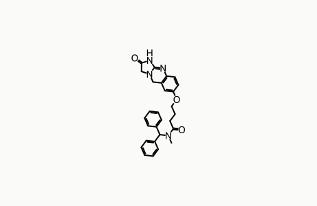 CN(C(=O)CCCOc1ccc2c(c1)CN1CC(=O)NC1=N2)C(c1ccccc1)c1ccccc1